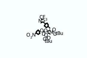 CC(C)(C)OC(=O)O[C@H]1CN(C(=O)OC(C)(C)C)[C@H](Cc2ccc(-c3cnc(C(F)(F)F)s3)cc2)[C@@H]1OC(=O)Oc1ccc([N+](=O)[O-])cc1